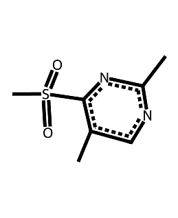 Cc1ncc(C)c(S(C)(=O)=O)n1